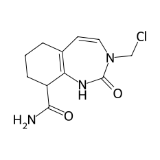 NC(=O)C1CCCC2=C1NC(=O)N(CCl)C=C2